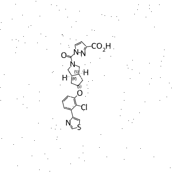 O=C(O)c1ccn(C(=O)N2C[C@H]3C[C@H](Oc4cccc(-c5cscn5)c4Cl)C[C@H]3C2)n1